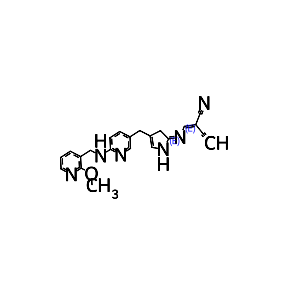 C#C/C(C#N)=C\N=C1/CC(Cc2ccc(NCc3cccnc3OC)nc2)=CN1